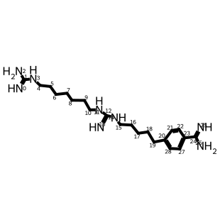 N=C(N)NCCCCCCCNC(=N)NCCCCCc1ccc(C(=N)N)cc1